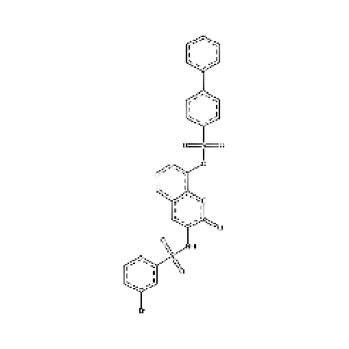 O=c1oc2c(OS(=O)(=O)c3ccc(-c4ccccc4)cc3)cccc2cc1NS(=O)(=O)c1cccc(Br)c1